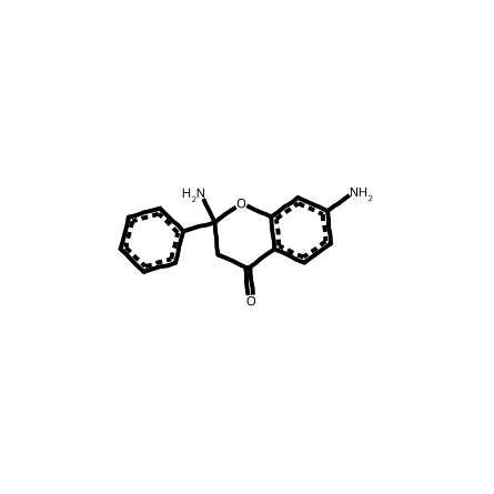 Nc1ccc2c(c1)OC(N)(c1ccccc1)CC2=O